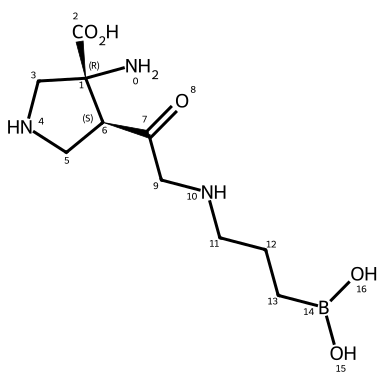 N[C@@]1(C(=O)O)CNC[C@@H]1C(=O)CNCCCB(O)O